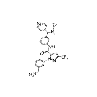 CN(C1CC1)C(c1ccncc1)c1cccc(NC(=O)c2cc(C(F)(F)F)nn2-c2cccc(CN)c2)c1